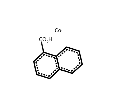 O=C(O)c1cccc2ccccc12.[Co]